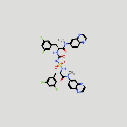 CN(C(=O)[C@H](Cc1cc(F)cc(F)c1)NC(=O)NS(=O)(=O)N[C@@H](Cc1cc(F)cc(F)c1)C(=O)N(C)c1ccc2nccnc2c1)c1ccc2nccnc2c1